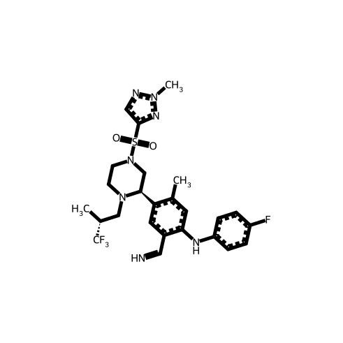 Cc1cc(Nc2ccc(F)cc2)c(C=N)cc1[C@@H]1CN(S(=O)(=O)c2cnn(C)n2)CCN1C[C@@H](C)C(F)(F)F